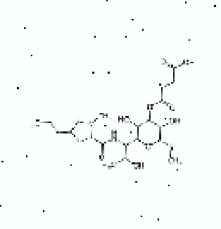 CCCC1CC(C(=O)NC(C(C)O)C2OC(SC)C(O)C(OC(=O)CCC(=O)O)C2O)N(C)C1